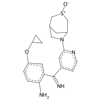 N=C(c1ccnc(N2CC3CC2C[S+]([O-])C3)c1)c1cc(OC2CC2)ccc1N